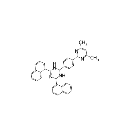 Cc1cc(C)nc(-c2ccc(C3NC(c4cccc5ccccc45)=NC(c4cccc5ccccc45)N3)cc2)n1